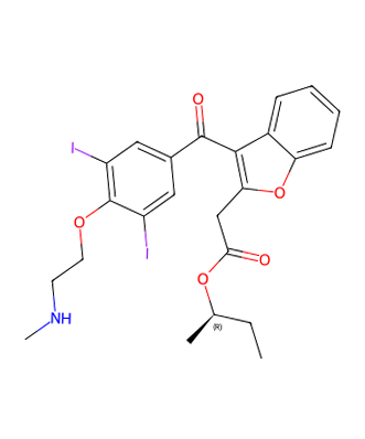 CC[C@@H](C)OC(=O)Cc1oc2ccccc2c1C(=O)c1cc(I)c(OCCNC)c(I)c1